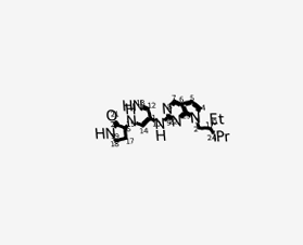 CC[C@@H](Cn1ccc2cnc(N/C(C=N)=C/NC3CCNC3=O)nc21)C(C)C